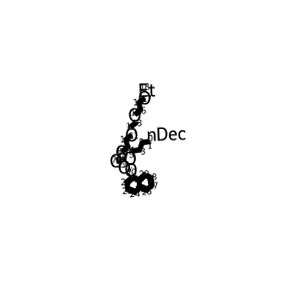 CCCCCCCCCCCCCCOP(=O)(OCCOCCOCCOCC)OOc1cccc2ccccc12